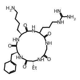 CC[C@H]1NC(=O)CNC(=O)C(CCCNC(=N)N)NC(=O)[C@H](CCCCN)NC(=O)[C@H](CC2=CC=CCC2)NC1=O